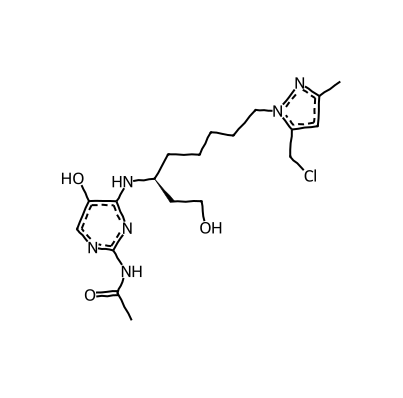 CC(=O)Nc1ncc(O)c(N[C@H](CCO)CCCCCn2nc(C)cc2CCl)n1